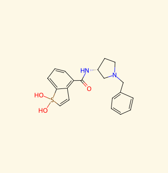 O=C(N[C@@H]1CCN(Cc2ccccc2)C1)c1cccc2c1C=CS2(O)O